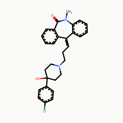 CN1C(=O)c2ccccc2C(=CCCN2CCC(O)(c3ccc(Cl)cc3)CC2)c2ccccc21